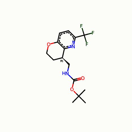 CC(C)(C)OC(=O)NC[C@H]1CCOc2ccc(C(F)(F)F)nc21